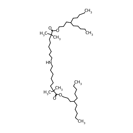 CCCCCC(CCCCC)CCCOC(=O)C(C)(C)CCCCCCNCCCCCCC(C)(C)C(=O)OCCCC(CCCCC)CCCCC